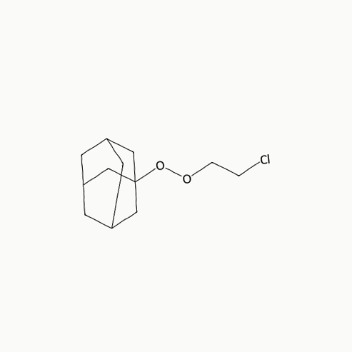 ClCCOOC12CC3CC(CC(C3)C1)C2